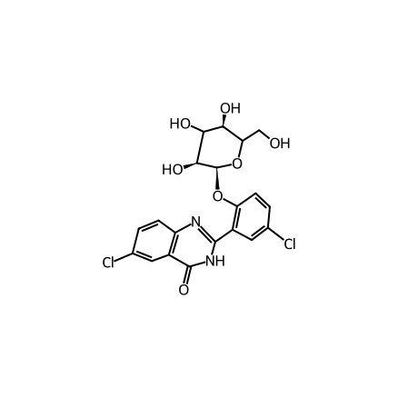 O=c1[nH]c(-c2cc(Cl)ccc2O[C@@H]2OC(CO)[C@H](O)C(O)[C@@H]2O)nc2ccc(Cl)cc12